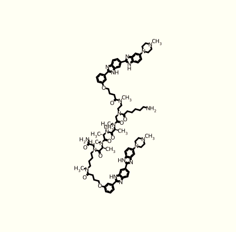 C[C@@H](C(=O)N(C)[C@@H](C)C(=O)N(C)[C@@H](C)C(=O)N(CCCCN(C)C(=O)CCCOc1cccc(-c2nc3ccc(-c4nc5cc(N6CCN(C)CC6)ccc5[nH]4)cc3[nH]2)c1)CC(N)=O)N(C)C(=O)CN(CCN(C)C(=O)CCCOc1cccc(-c2nc3ccc(-c4nc5cc(N6CCN(C)CC6)ccc5[nH]4)cc3[nH]2)c1)C(=O)CCCCCN